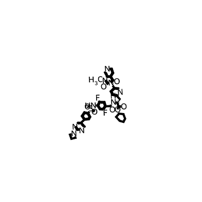 Cn1c(=O)n(-c2ccc(C[C@H](NC(=O)c3cc(F)c(NS(=O)(=O)c4ccc(-c5cnc(N6CCC6)nc5)cc4)cc3F)C(=O)OC3CCCCC3)nc2)c(=O)c2ccncc21